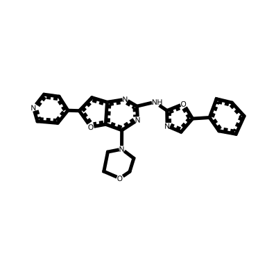 c1ccc(-c2cnc(Nc3nc(N4CCOCC4)c4oc(-c5ccncc5)cc4n3)o2)cc1